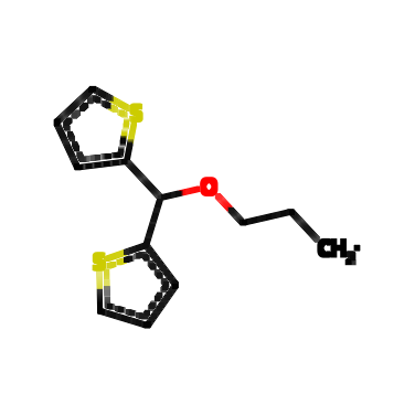 [CH2]CCOC(c1cccs1)c1cccs1